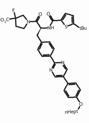 CCCCCCCOc1ccc(-c2cnc(-c3ccc(C[C@H](NC(=O)c4ccc(C(C)(C)C)s4)C(=O)N4CCC(F)(C(=O)O)C4)cc3)nc2)cc1